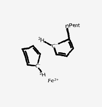 [2H][c-]1cccc1.[2H][c-]1cccc1CCCCC.[Fe+2]